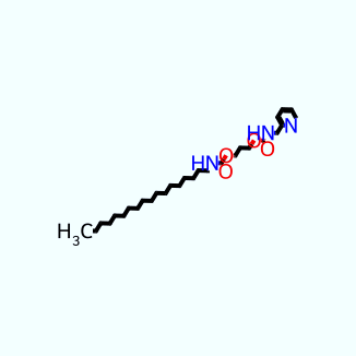 CCCCCCCCCCCCCCCCCCNC(=O)OCCCOC(=O)NCc1ccccn1